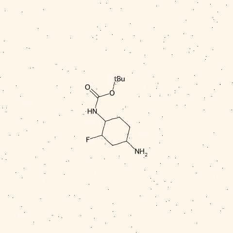 CC(C)(C)OC(=O)NC1CCC(N)CC1F